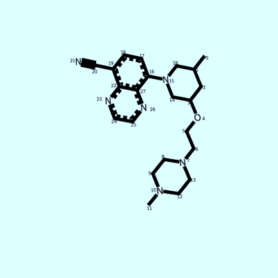 CC1CC(OCCN2CCN(C)CC2)CN(c2ccc(C#N)c3nccnc23)C1